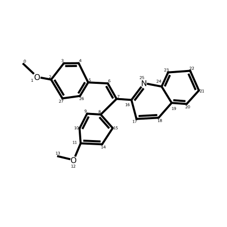 COc1ccc(C=C(c2ccc(OC)cc2)c2ccc3ccccc3n2)cc1